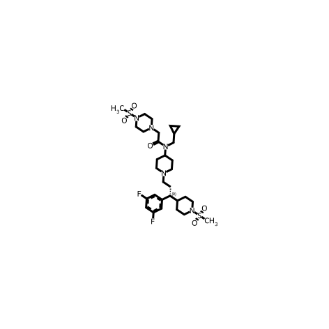 CS(=O)(=O)N1CCC([C@@H](CCN2CCC(N(CC3CC3)C(=O)CN3CCN(S(C)(=O)=O)CC3)CC2)c2cc(F)cc(F)c2)CC1